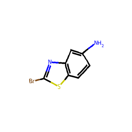 Nc1ccc2sc(Br)nc2c1